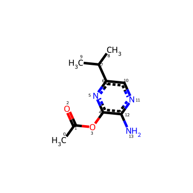 CC(=O)Oc1nc(C(C)C)cnc1N